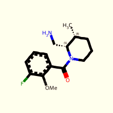 COc1c(F)cccc1C(=O)N1CCC[C@@H](C)[C@H]1CN